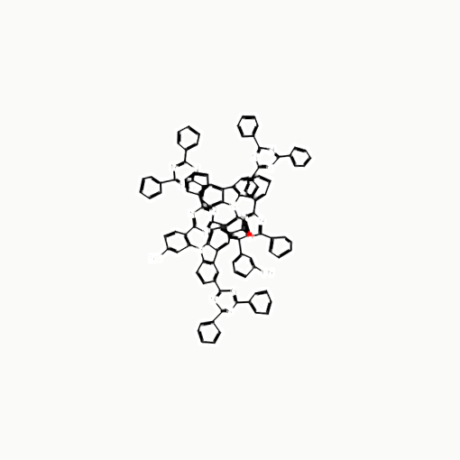 N#Cc1cccc(-c2ccc(-n3c4ccc(-c5nc(-c6ccccc6)nc(-c6ccccc6)n5)cc4c4cc(-c5nc(-c6ccccc6)nc(-c6ccccc6)n5)ccc43)c(-c3nc(-c4ccccc4)nc(-c4ccc(C#N)cc4-n4c5ccc(-c6nc(-c7ccccc7)nc(-c7ccccc7)n6)cc5c5cc(-c6nc(-c7ccccc7)nc(-c7ccccc7)n6)ccc54)n3)c2)c1